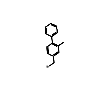 Cc1cc(CBr)ccc1-c1ccccc1